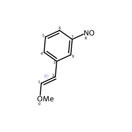 CO/C=C/c1cccc(N=O)c1